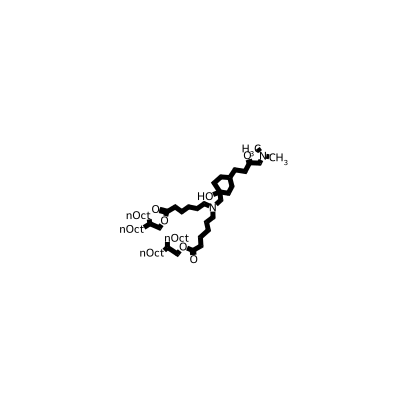 CCCCCCCCC(CCCCCCCC)COC(=O)CCCCCN(CCCCCC(=O)OCC(CCCCCCCC)CCCCCCCC)CC1(O)CCC(CCC(=O)CN(C)C)CC1